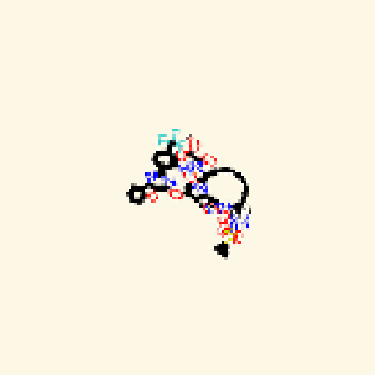 COC(=O)C(=O)N[C@H]1CCCCC/C=C\[C@@H]2C[C@@]2(C(=O)NS(=O)(=O)C2CC2)NC(=O)[C@@H]2C[C@@H](Oc3nc(-c4ccc(C(F)(F)F)cc4)nc4c3oc3ccccc34)CN2C1=O